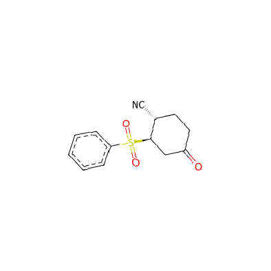 N#C[C@@H]1CCC(=O)C[C@H]1S(=O)(=O)c1ccccc1